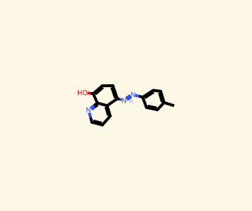 Cc1ccc(/N=N/c2ccc(O)c3ncccc23)cc1